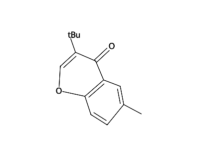 Cc1ccc2occ(C(C)(C)C)c(=O)c2c1